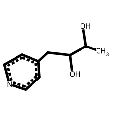 CC(O)C(O)Cc1ccncc1